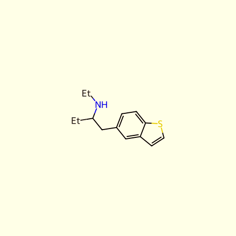 CCNC(CC)Cc1ccc2sccc2c1